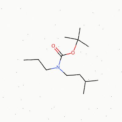 CCCN(CCC(C)C)C(=O)OC(C)(C)C